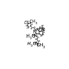 Cc1cc(/C=C/c2nc(N(C)CCCN(C)C)c3cccc(C(F)(F)F)c3n2)ccc1Cl